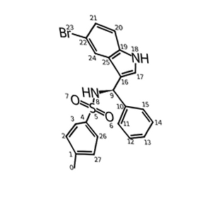 Cc1ccc(S(=O)(=O)N[C@H](c2ccccc2)c2c[nH]c3ccc(Br)cc23)cc1